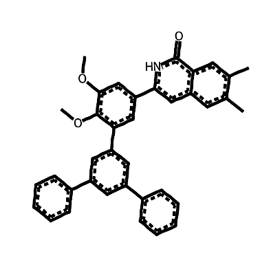 COc1cc(-c2cc3cc(C)c(C)cc3c(=O)[nH]2)cc(-c2cc(-c3ccccc3)cc(-c3ccccc3)c2)c1OC